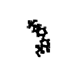 CCS(=O)(=O)c1cc(-c2ccn3nc(C(F)(F)F)cc3n2)cnc1Cl